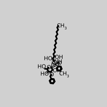 CCCCCCCCCCCCCC[C@@H](O)[C@@H](O)[C@H](CO[C@H]1OC(CO)[C@H](O)[C@@H](OCc2ccccc2)C1O)NS(=O)(=O)c1ccc(C)cc1